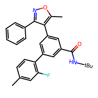 Cc1ccc(-c2cc(C(=O)NC(C)(C)C)cc(-c3c(-c4ccccc4)noc3C)c2)c(F)c1